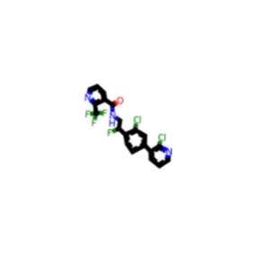 O=C(NCC(F)c1ccc(-c2cccnc2Cl)cc1Cl)c1cccnc1C(F)(F)F